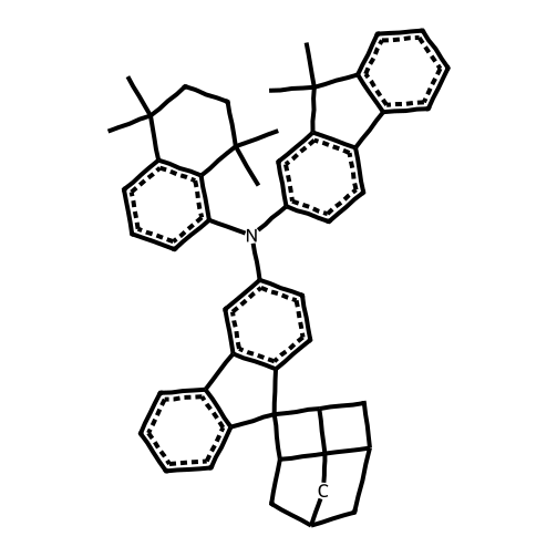 CC1(C)CCC(C)(C)c2c(N(c3ccc4c(c3)-c3ccccc3C43C4CC5CC6CC3C64C5)c3ccc4c(c3)C(C)(C)c3ccccc3-4)cccc21